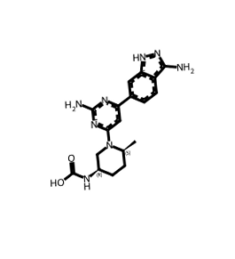 C[C@H]1CC[C@@H](NC(=O)O)CN1c1cc(-c2ccc3c(N)n[nH]c3c2)nc(N)n1